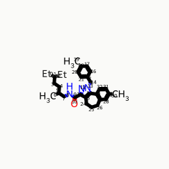 CCC(CC)CCC(C)CNC(=O)c1nn(Cc2ccc(C)cc2)c2c1CCCc1cc(C)ccc1-2